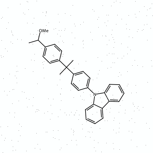 COC(C)c1ccc(C(C)(C)c2ccc(-n3c4ccccc4c4ccccc43)cc2)cc1